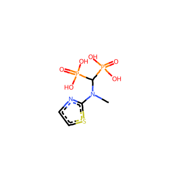 CN(c1nccs1)C(P(=O)(O)O)P(=O)(O)O